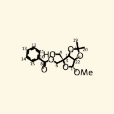 CO[C@@H]1O[C@](CO)(COC(=O)c2ccccc2)C2OC(C)(C)OC21